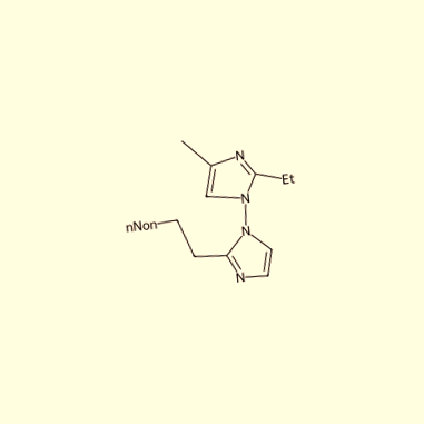 CCCCCCCCCCCc1nccn1-n1cc(C)nc1CC